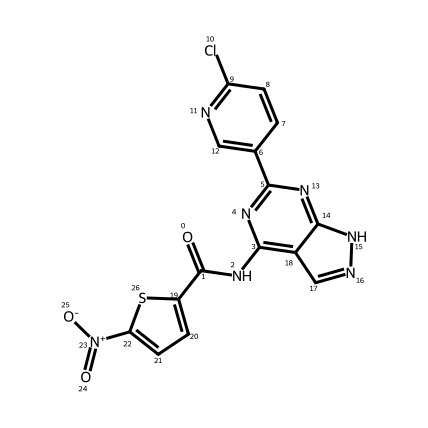 O=C(Nc1nc(-c2ccc(Cl)nc2)nc2[nH]ncc12)c1ccc([N+](=O)[O-])s1